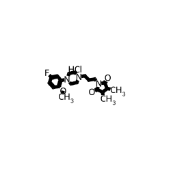 COc1ccc(F)cc1N1CCN(CCCN2C(=O)C(C)C(C)C2=O)CC1.Cl